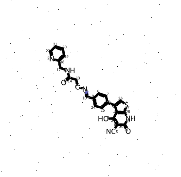 N#Cc1c(O)c2c(-c3ccc(/C=N/OCC(=O)NCc4ccccn4)cc3)csc2[nH]c1=O